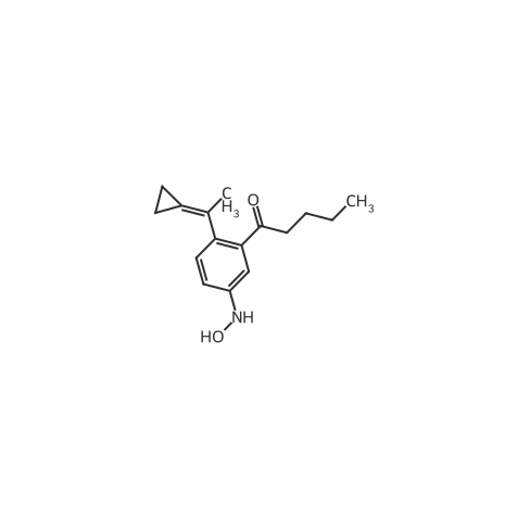 CCCCC(=O)c1cc(NO)ccc1C(C)=C1CC1